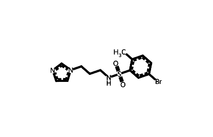 Cc1ccc(Br)cc1S(=O)(=O)NCCCn1ccnc1